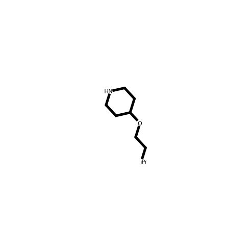 CC(C)CCOC1CCNCC1